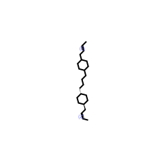 C/C=C\C[C@H]1CC[C@H](CCCCC2CCC(C/C=C/C)CC2)CC1